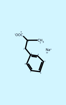 CC(Cc1ccccc1)C(=O)[O-].[Na+]